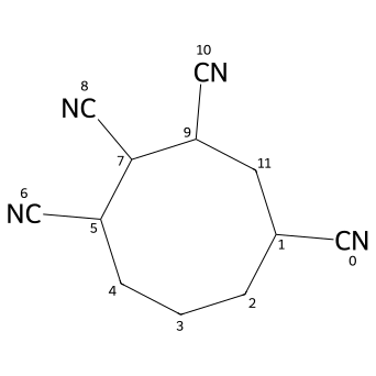 N#CC1CCCC(C#N)C(C#N)C(C#N)C1